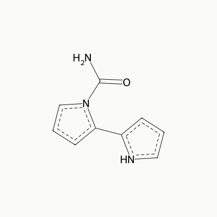 NC(=O)n1cccc1-c1ccc[nH]1